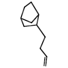 C=CCCC1CC2CCC1C2